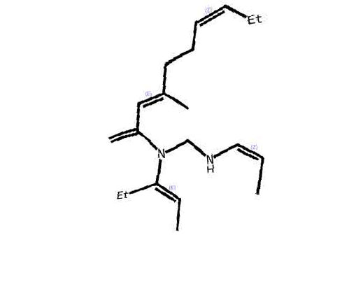 C=C(/C=C(\C)CC/C=C\CC)N(CN/C=C\C)/C(=C/C)CC